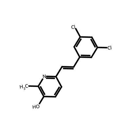 Cc1nc(/C=C/c2cc(Cl)cc(Cl)c2)ccc1O